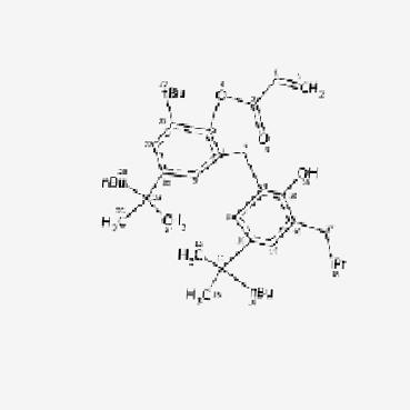 C=CC(=O)Oc1c(Cc2cc(C(C)(C)CCCC)cc(CC(C)C)c2O)cc(C(C)(C)CCCC)cc1C(C)(C)C